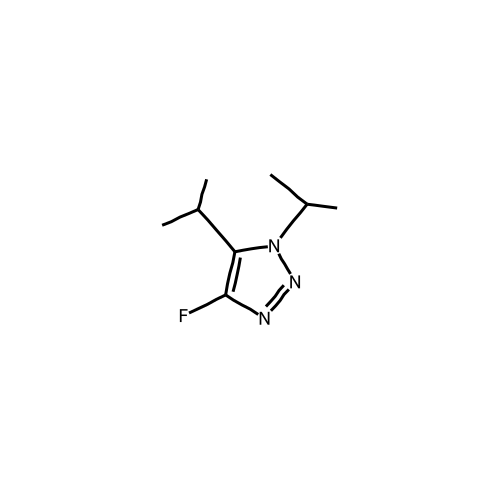 CC(C)c1c(F)nnn1C(C)C